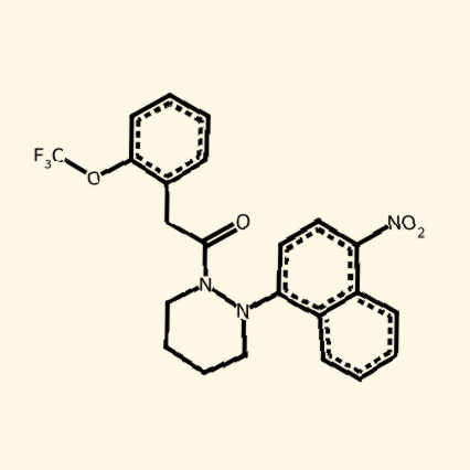 O=C(Cc1ccccc1OC(F)(F)F)N1CCCCN1c1ccc([N+](=O)[O-])c2ccccc12